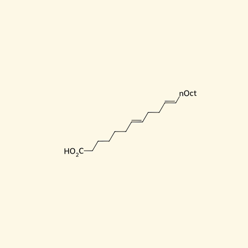 CCCCCCCCC=CCCC=CCCCCCC(=O)O